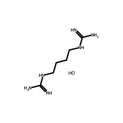 Cl.N=C(N)NCCCCNC(=N)N